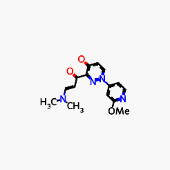 COc1cc(-n2ccc(=O)c(C(=O)/C=C/N(C)C)n2)ccn1